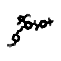 COC1CCN(CCOc2ccc(NC(=O)c3ccc(C(F)(F)F)cc3)cc2-c2c(Cl)cnn2C)CC1